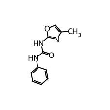 Cc1coc(NC(=O)Nc2ccccc2)n1